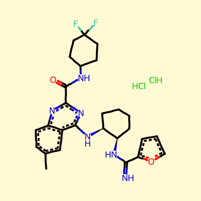 Cc1ccc2nc(C(=O)NC3CCC(F)(F)CC3)nc(N[C@H]3CCCC[C@H]3NC(=N)c3ccco3)c2c1.Cl.Cl